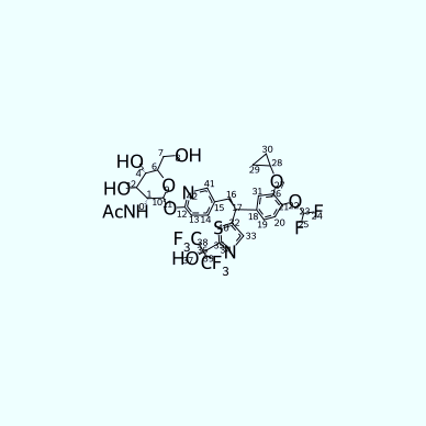 CC(=O)N[C@@H]1C(O)[C@H](O)C(CO)O[C@H]1Oc1ccc(C[C@@H](c2ccc(OC(F)F)c(OC3CC3)c2)c2cnc(C(O)(C(F)(F)F)C(F)(F)F)s2)cn1